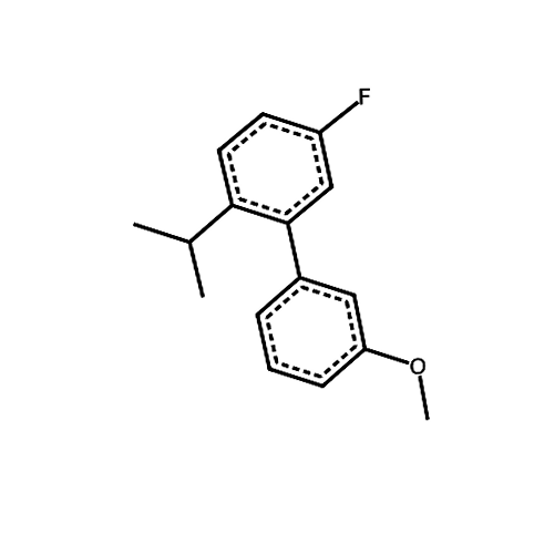 COc1cccc(-c2cc(F)ccc2C(C)C)c1